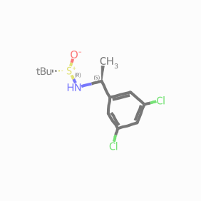 C[C@H](N[S@@+]([O-])C(C)(C)C)c1cc(Cl)cc(Cl)c1